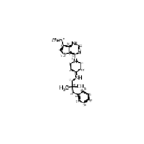 CSc1csc2c(N3CCC(NCC(C)(C)Cc4ccccc4)CC3)ncnc12